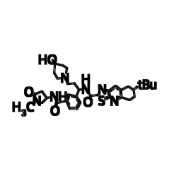 CN1CC(NC(=O)c2cccc(C(CCN3CCC(O)CC3)NC(=O)c3nc4cc5c(nc4s3)CC[C@H](C(C)(C)C)C5)c2)CC1=O